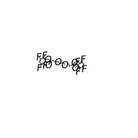 O=C(CCOCCOCCC(=O)Oc1c(F)c(F)cc(F)c1F)Oc1c(F)c(F)cc(F)c1F